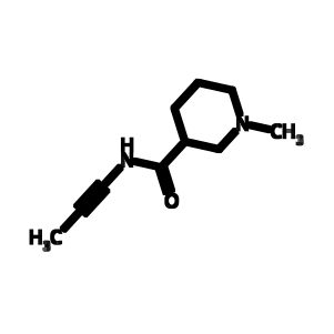 CC#CNC(=O)C1CCCN(C)C1